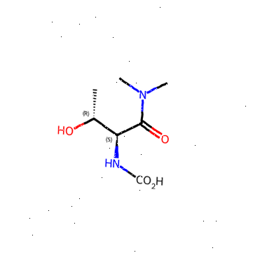 C[C@@H](O)[C@H](NC(=O)O)C(=O)N(C)C